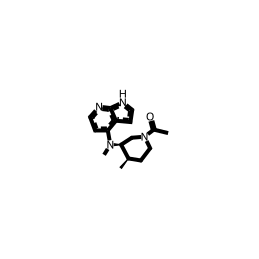 CC(=O)N1CC[C@@H](C)[C@@H](N(C)c2ccnc3[nH]ccc23)C1